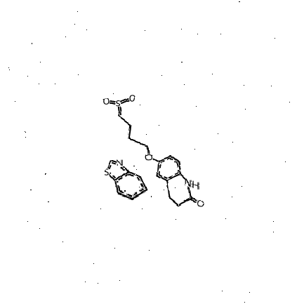 O=C1CCc2cc(OCCCC=S(=O)=O)ccc2N1.c1ccc2scnc2c1